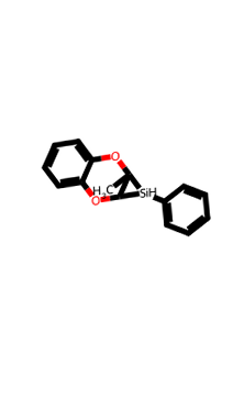 CC12Oc3ccccc3OC1[SiH]2c1ccccc1